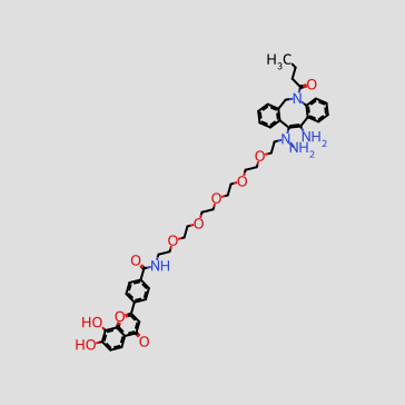 CCCC(=O)N1Cc2ccccc2/C(N(N)CCOCCOCCOCCOCCOCCNC(=O)c2ccc(-c3cc(=O)c4ccc(O)c(O)c4o3)cc2)=C(/N)c2ccccc21